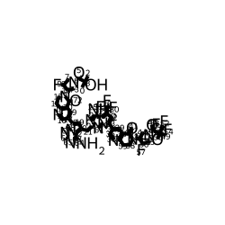 CC(C)(O)C(=O)N1CC(F)C(N2CCc3ncc(-c4cc(Cc5nc(N)c6c(C(F)(F)F)cc(-c7cnc8c(c7)C(=O)N(C7CN(C(=O)C(C)(O)C(F)(F)F)CC7F)CC8)n6n5)c5c(N)ncnn45)cc3C2=O)C1